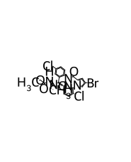 COC(=O)NN(C)C(=O)c1cc(Cl)ccc1NC(=O)c1cc(Br)cn1-c1ncccc1Cl